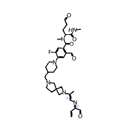 C=C/C(C=O)=N\C=C(/C)N1CC2(CCN(CC3CCN(c4cc(C=O)c(C(=O)N(C)C(CCC=O)C(=O)NC)cc4F)CC3)C2)C1